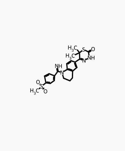 CC1(C)SC(=O)NN=C1c1ccc2c(c1)CCCN2C(=N)c1ccc(S(C)(=O)=O)cc1